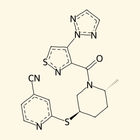 C[C@@H]1CC[C@@H](Sc2cc(C#N)ccn2)CN1C(=O)c1nscc1-n1nccn1